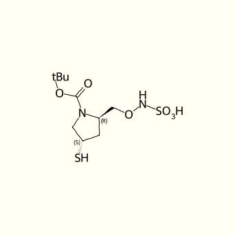 CC(C)(C)OC(=O)N1C[C@@H](S)C[C@@H]1CONS(=O)(=O)O